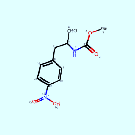 CC(C)(C)OC(=O)NC(C=O)Cc1ccc([N+](=O)O)cc1